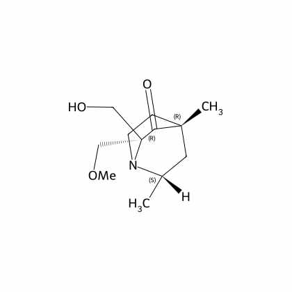 COC[C@]1(CO)C(=O)[C@]2(C)CCN1[C@@H](C)C2